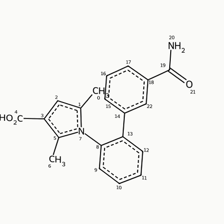 Cc1cc(C(=O)O)c(C)n1-c1ccccc1-c1cccc(C(N)=O)c1